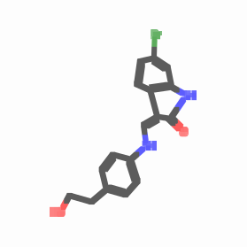 O=C1Nc2cc(Br)ccc2/C1=C/Nc1ccc(CCO)cc1